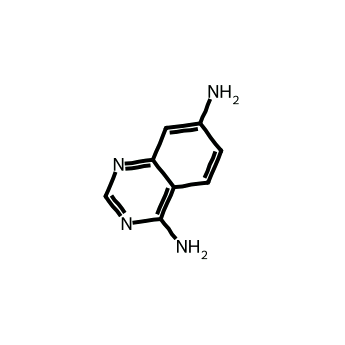 Nc1ccc2c(N)ncnc2c1